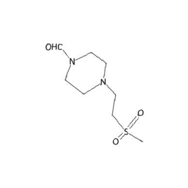 CS(=O)(=O)CCN1CCN(C=O)CC1